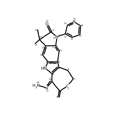 C=C1CCCc2c([nH]c3cc4c(cc23)N(c2cccnc2)C(=O)C4(C)C)C1=NN